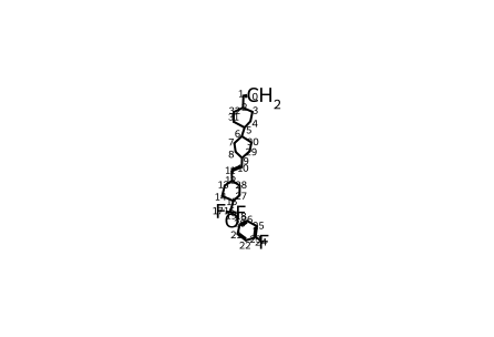 C=CC1CCC(C2CCC(/C=C/C3CCC(C(F)(F)Oc4ccc(F)cc4)CC3)CC2)CC1